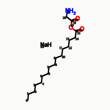 CCCCCCCCCCCCCCCC(=O)OC(=O)CN.[NaH]